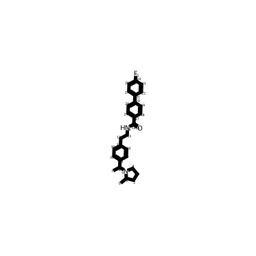 CC1CCCN1C(C)c1ccc(CCNC(=O)c2ccc(-c3ccc(F)cc3)cc2)cc1